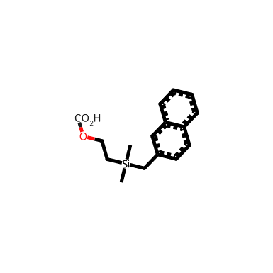 C[Si](C)(CCOC(=O)O)Cc1ccc2ccccc2c1